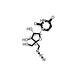 [N-]=[N+]=NC[C@]1(CO)O[C@@H](n2ccc(=O)[nH]c2=O)[C@@H](O)[C@@H]1O